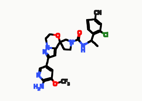 CC(NC(=O)N1CCC2(C1)OCCn1nc(-c3cnc(N)c(OC(F)(F)F)c3)cc12)c1ccc(C#N)cc1Cl